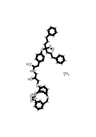 C.CC(Cc1ccc(OC(CCCc2ccccc2)(CCCc2ccccc2)P=O)cc1)NCC(O)COc1ccc2cc1NS(=O)(=O)c1cccc(c1)CO2